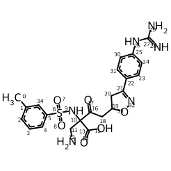 Cc1cccc(S(=O)(=O)NC(CN)(C(=O)O)C(=O)CC2CC(c3ccc(NC(=N)N)cc3)=NO2)c1